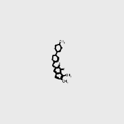 Cc1ccc2cc(CC3CCC(C4CCC(C)CC4)CC3)c(F)c(F)c2c1C